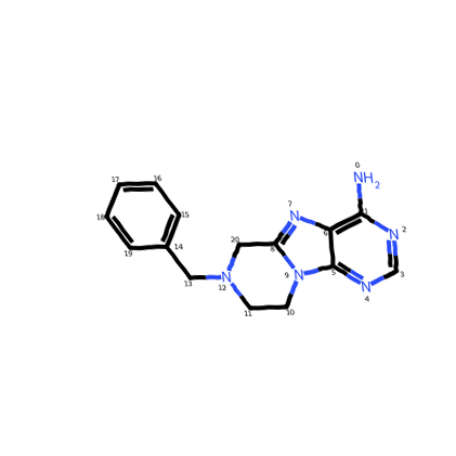 Nc1ncnc2c1nc1n2CCN(Cc2ccccc2)C1